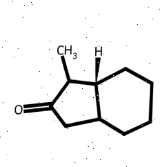 CC1C(=O)CC2CCCC[C@H]21